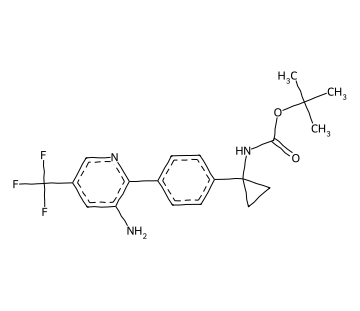 CC(C)(C)OC(=O)NC1(c2ccc(-c3ncc(C(F)(F)F)cc3N)cc2)CC1